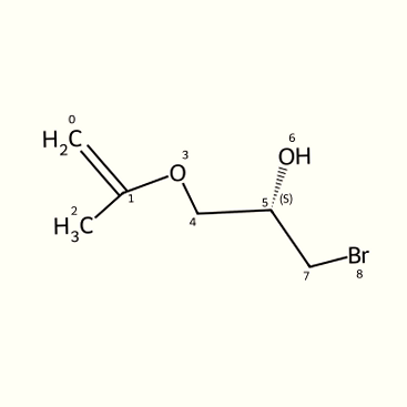 C=C(C)OC[C@H](O)CBr